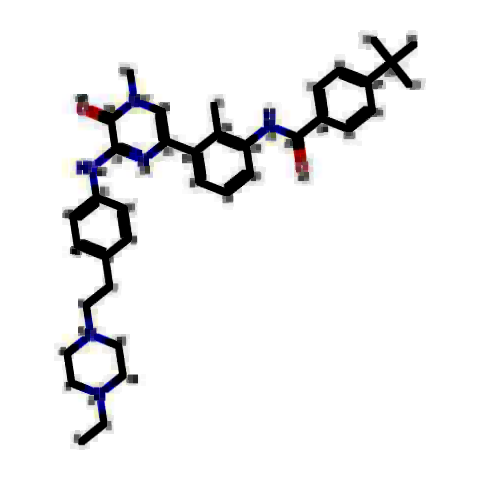 CCN1CCN(CCc2ccc(Nc3nc(-c4cccc(NC(=O)c5ccc(C(C)(C)C)cc5)c4C)cn(C)c3=O)cc2)CC1